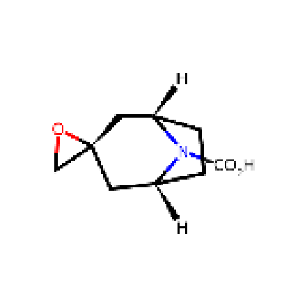 O=C(O)N1[C@@H]2CC[C@H]1C[C@]1(CO1)C2